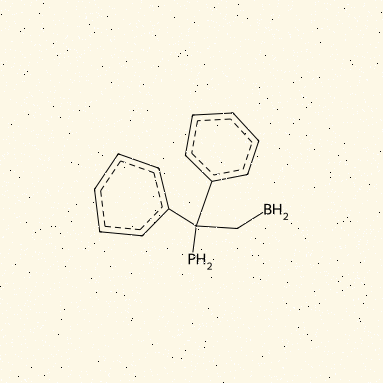 BCC(P)(c1ccccc1)c1ccccc1